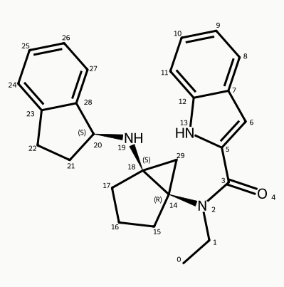 CCN(C(=O)c1cc2ccccc2[nH]1)[C@@]12CCC[C@]1(N[C@H]1CCc3ccccc31)C2